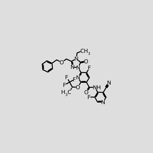 CCn1c(COCc2ccccc2)nn(-c2nc(O[C@@H](C)C(F)(F)F)c(C(=O)Nc3c(F)cncc3C#N)cc2F)c1=O